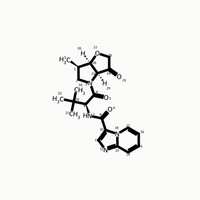 C[C@@H]1CN(C(=O)[C@@H](NC(=O)c2cnc3ccccn23)C(C)(C)C)[C@@H]2C(=O)CO[C@H]12